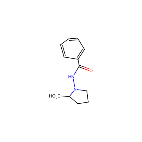 O=C(NN1CCCC1C(=O)O)c1ccccc1